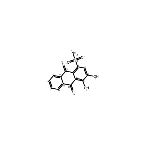 NS(=O)(=O)c1cc(O)c(O)c2c1C(=O)c1ccccc1C2=O